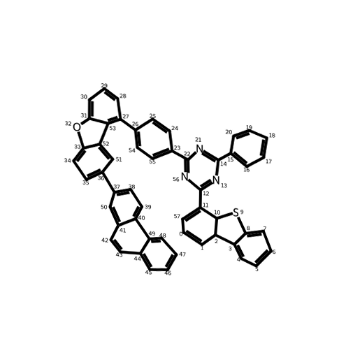 C1=CC2c3ccccc3SC2C(c2nc(-c3ccccc3)nc(-c3ccc(-c4cccc5oc6ccc(-c7ccc8c(ccc9ccccc98)c7)cc6c45)cc3)n2)=C1